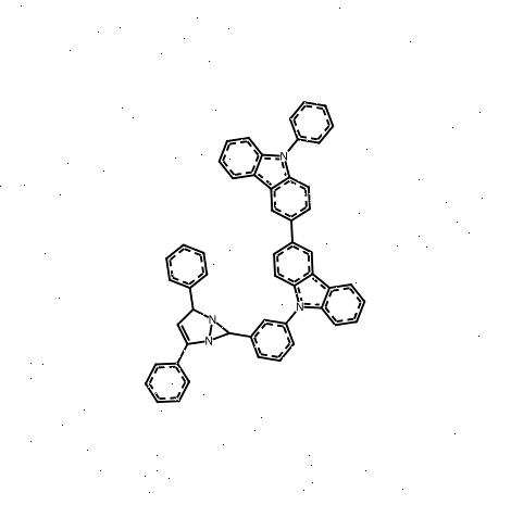 C1=C(c2ccccc2)N2C(c3cccc(-n4c5ccccc5c5cc(-c6ccc7c(c6)c6ccccc6n7-c6ccccc6)ccc54)c3)N2C1c1ccccc1